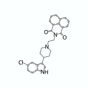 O=C1c2cccc3cccc(c23)C(=O)N1CCN1CCC(c2c[nH]c3ccc(Cl)cc23)CC1